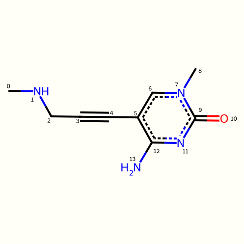 CNCC#Cc1cn(C)c(=O)nc1N